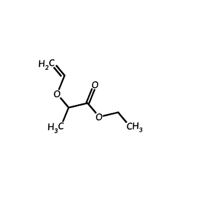 C=COC(C)C(=O)OCC